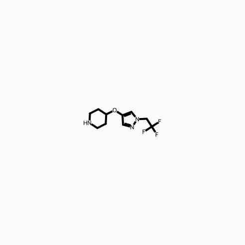 FC(F)(F)Cn1cc(OC2CCNCC2)cn1